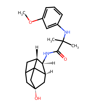 COc1cccc(NC(C)(C)C(=O)N[C@H]2[C@@H]3CC4C[C@H]2C[C@](O)(C4)C3)c1